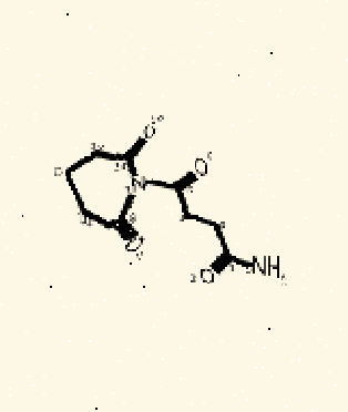 NC(=O)CCC(=O)N1C(=O)CCCC1=O